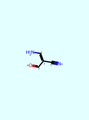 N#CC(C=O)=CN